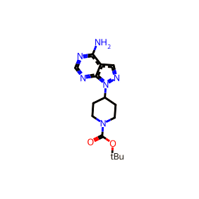 CC(C)(C)OC(=O)N1CCC(n2ncc3c(N)ncnc32)CC1